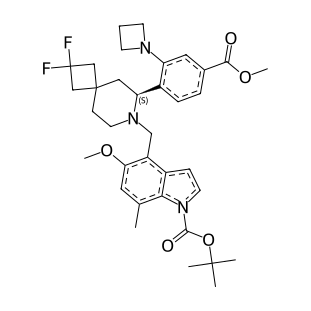 COC(=O)c1ccc([C@@H]2CC3(CCN2Cc2c(OC)cc(C)c4c2ccn4C(=O)OC(C)(C)C)CC(F)(F)C3)c(N2CCC2)c1